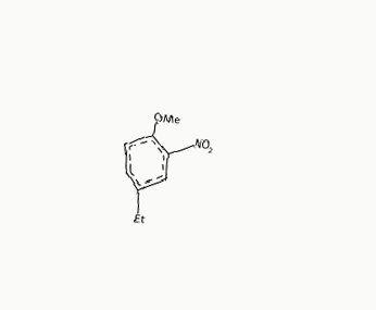 CCc1ccc(OC)c([N+](=O)[O-])c1